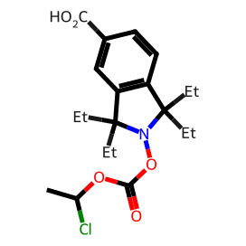 CCC1(CC)c2ccc(C(=O)O)cc2C(CC)(CC)N1OC(=O)OC(C)Cl